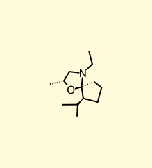 CCN1C[C@@H](C)O[C@@]12CCC[C@H]2C(C)C